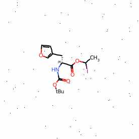 CC(I)OC(=O)[C@@H](Cc1ccoc1)NC(=O)OC(C)(C)C